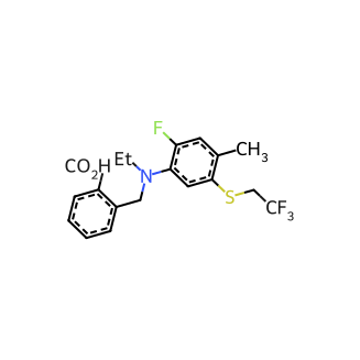 CCN(Cc1ccccc1C(=O)O)c1cc(SCC(F)(F)F)c(C)cc1F